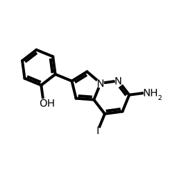 Nc1cc(I)c2cc(-c3ccccc3O)cn2n1